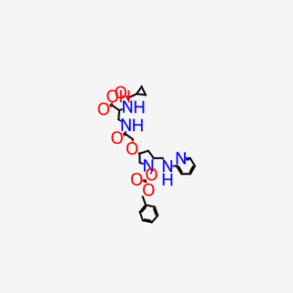 O=C(COC1CC(CNc2ccccn2)N(OC(=O)OCc2ccccc2)C1)NCC(NC(=O)C1CC1)C(=O)O